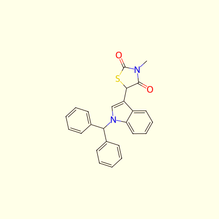 CN1C(=O)SC(c2cn(C(c3ccccc3)c3ccccc3)c3ccccc23)C1=O